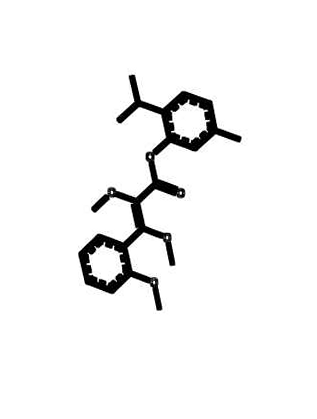 COC(C(=O)Oc1cc(C)ccc1C(C)C)=C(OC)c1ccccc1OC